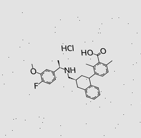 COc1cc([C@@H](C)NC[C@@H]2Cc3ccccc3C(c3ccc(C)c(C(=O)O)c3C)C2)ccc1F.Cl